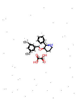 CC(C)(C)c1cc(COC2CCCNC2c2ccccc2)cc(C(C)(C)C)c1.O=C(O)C(=O)O